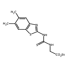 CCOC(=O)CNC(=S)Nc1nc2cc(C)c(C)cc2s1